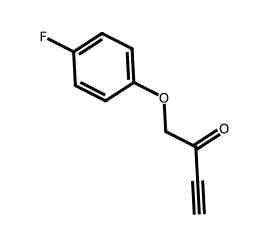 C#CC(=O)COc1ccc(F)cc1